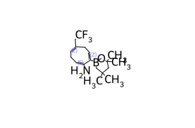 CC1(C)CB(C2=C/C/C(CC(F)(F)F)=C\C/C=C\2N)OC(C)(C)C1